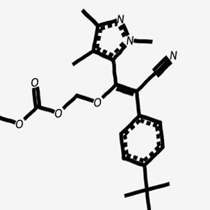 CCOC(=O)OCO/C(=C(/C#N)c1ccc(C(C)(C)C)cc1)c1c(C)c(C)nn1C